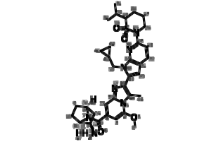 COc1cc(C(=O)N2[C@H]3CC[C@@H]2[C@H](N)C3)cc2nc(-c3cc4ccc(N5CCCC(C(C)C)S5(=O)=O)nc4n3CC3CC3)c(C)n12